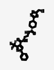 O=C(NCCNC(=O)[C@H]1CC[C@H](c2nnc(CCl)o2)CC1)c1cn(-c2ccccc2)nc1C(F)(F)F